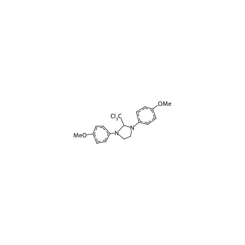 COc1ccc(N2CCN(c3ccc(OC)cc3)C2C(Cl)(Cl)Cl)cc1